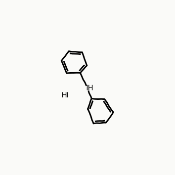 I.c1ccc([IH]c2ccccc2)cc1